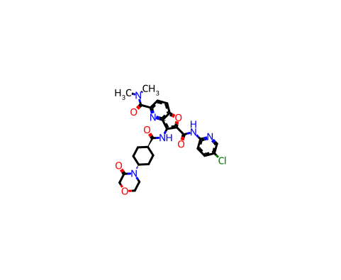 CN(C)C(=O)c1ccc2oc(C(=O)Nc3ccc(Cl)cn3)c(NC(=O)[C@H]3CC[C@H](N4CCOCC4=O)CC3)c2n1